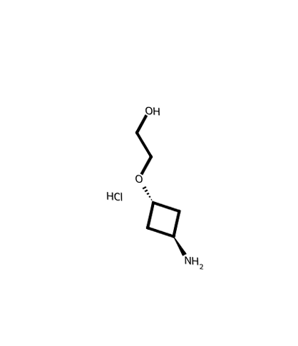 Cl.N[C@H]1C[C@H](OCCO)C1